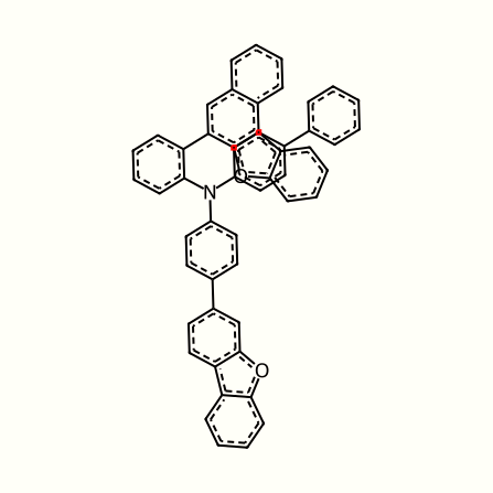 c1ccc(-c2ccc(N(c3ccc(-c4ccc5c(c4)oc4ccccc45)cc3)c3ccccc3-c3cc4ccccc4c4c3oc3ccccc34)cc2)cc1